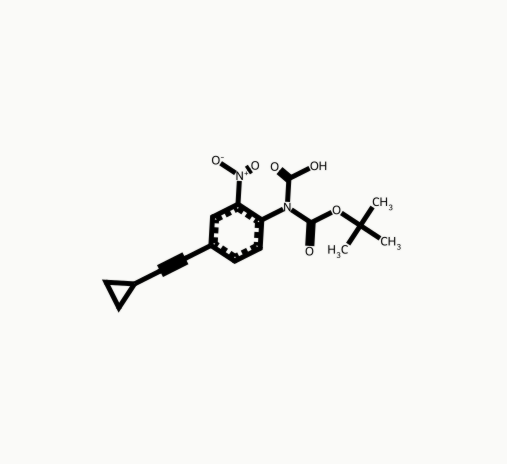 CC(C)(C)OC(=O)N(C(=O)O)c1ccc(C#CC2CC2)cc1[N+](=O)[O-]